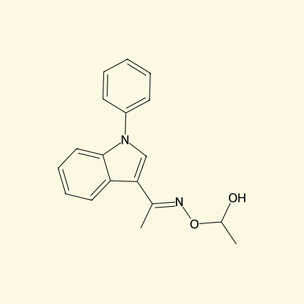 C/C(=N\OC(C)O)c1cn(-c2ccccc2)c2ccccc12